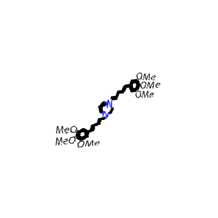 COc1cc(/C=C/CCCN2CCCN(CCC/C=C/c3cc(OC)c(OC)c(OC)c3)CC2)cc(OC)c1OC